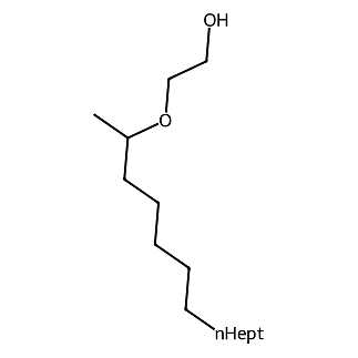 CCCCCCCCCCCCC(C)OCCO